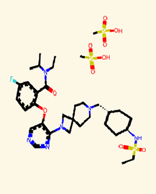 CCN(C(=O)c1cc(F)ccc1Oc1cncnc1N1CC2(CCN(C[C@H]3CC[C@H](NS(=O)(=O)CC)CC3)CC2)C1)C(C)C.CS(=O)(=O)O.CS(=O)(=O)O